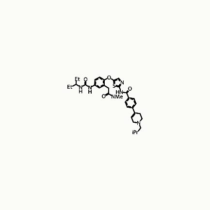 CCC(CC)NC(=O)Nc1ccc(Oc2cnc(NC(=O)c3ccc(C4=CCN(CC(C)C)CC4)cc3)s2)c(CC(=O)NC)c1